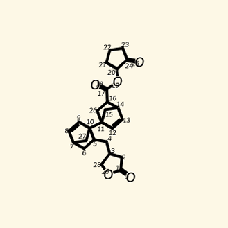 O=C1CC(CC2CC3C=CC2(C24C=CC(C2)C(C(=O)O[C@H]2CCCC2=O)C4)C3)CO1